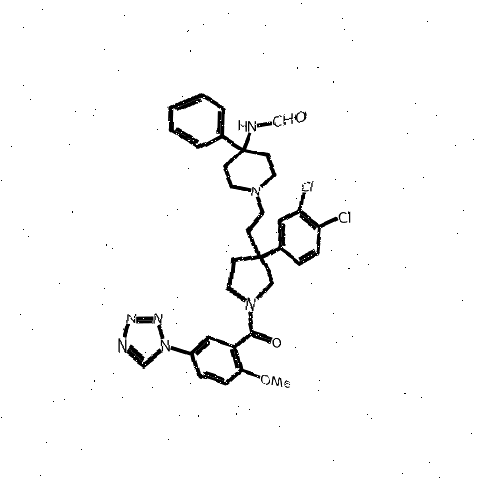 COc1ccc(-n2cnnn2)cc1C(=O)N1CCC(CCN2CCC(NC=O)(c3ccccc3)CC2)(c2ccc(Cl)c(Cl)c2)C1